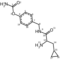 NC(=O)Oc1ccc(CNC(=O)C(N)CC2CC2)cc1